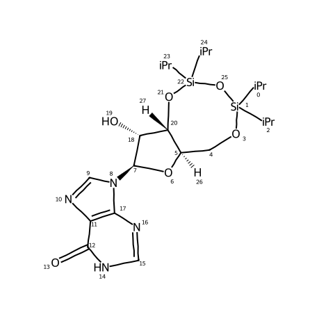 CC(C)[Si]1(C(C)C)OC[C@H]2O[C@@H](n3cnc4c(=O)[nH]cnc43)[C@H](O)[C@@H]2O[Si](C(C)C)(C(C)C)O1